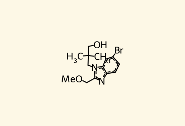 COCc1nc2ccc(Br)cc2n1CC(C)(C)CO